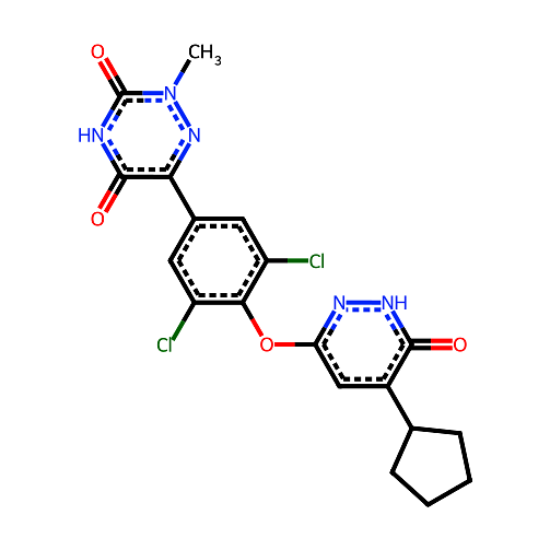 Cn1nc(-c2cc(Cl)c(Oc3cc(C4CCCC4)c(=O)[nH]n3)c(Cl)c2)c(=O)[nH]c1=O